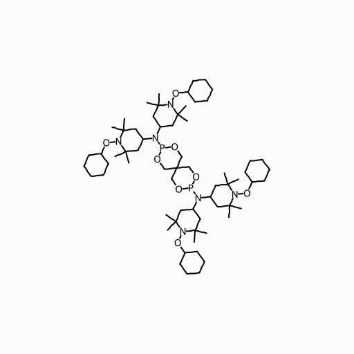 CC1(C)CC(N(C2CC(C)(C)N(OC3CCCCC3)C(C)(C)C2)P2OCC3(CO2)COP(N(C2CC(C)(C)N(OC4CCCCC4)C(C)(C)C2)C2CC(C)(C)N(OC4CCCCC4)C(C)(C)C2)OC3)CC(C)(C)N1OC1CCCCC1